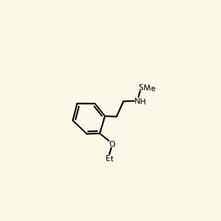 CCOc1ccccc1CCNSC